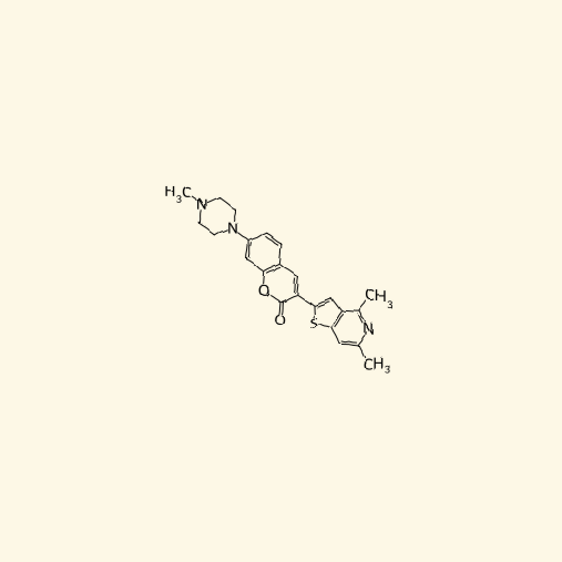 Cc1cc2sc(-c3cc4ccc(N5CCN(C)CC5)cc4oc3=O)cc2c(C)n1